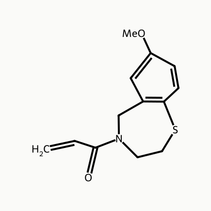 C=CC(=O)N1CCSc2ccc(OC)cc2C1